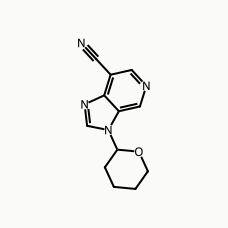 N#Cc1cncc2c1ncn2C1CCCCO1